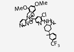 COc1ccc(CN(c2ccncn2)S(=O)(=O)c2cnc(N[C@H]3CC[C@H](C4(C)C=CC=C(C(F)(F)F)C4)C[C@@H]3N(C)C)c(Cl)c2)c(OC)c1